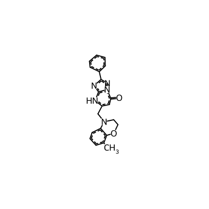 Cc1cccc2c1OCCN2Cc1cc(=O)n2nc(-c3ccccc3)nc2[nH]1